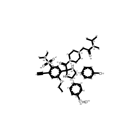 C#Cc1cc(OCC)c(C2(C(=O)N3CCN(CC(=O)N(C)C(C)C)CC3)N[C@H](c3ccc(Cl)cc3)[C@H](c3ccc(Cl)cc3)N2)cc1S(=O)(=O)N(C)C.Cl